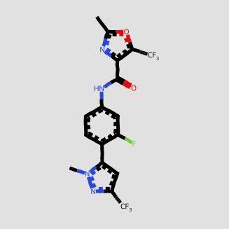 Cc1nc(C(=O)Nc2ccc(-c3cc(C(F)(F)F)nn3C)c(F)c2)c(C(F)(F)F)o1